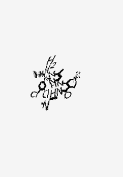 CCN1CCC(C(=O)NCCN(C)C)C(Nc2cc(C)nc(N(C(=N)N)c3ccc(Cl)c(Cl)c3)n2)C1